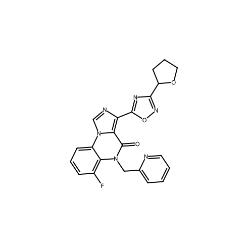 O=c1c2c(-c3nc(C4CCCO4)no3)ncn2c2cccc(F)c2n1Cc1ccccn1